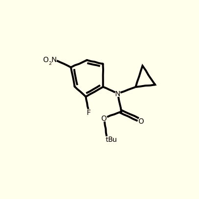 CC(C)(C)OC(=O)N(c1ccc([N+](=O)[O-])cc1F)C1CC1